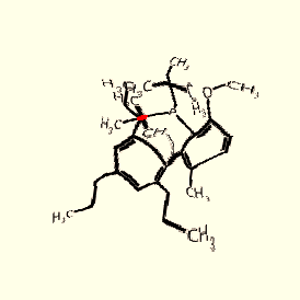 CCCc1cc(CCC)c(-c2c(C)ccc(OC)c2P(C(C)(C)C)C(C)(C)C)c(CCC)c1